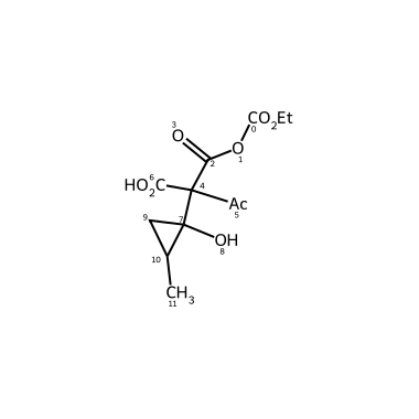 CCOC(=O)OC(=O)C(C(C)=O)(C(=O)O)C1(O)CC1C